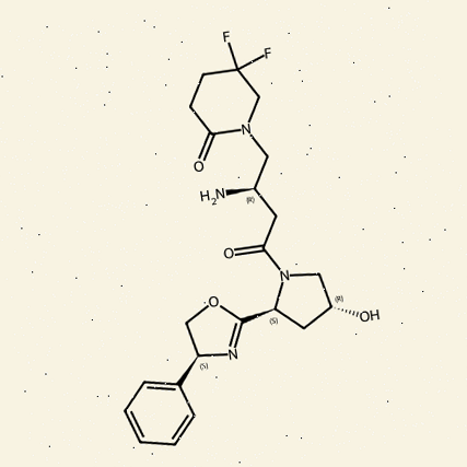 N[C@H](CC(=O)N1C[C@H](O)C[C@H]1C1=N[C@@H](c2ccccc2)CO1)CN1CC(F)(F)CCC1=O